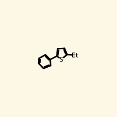 [CH2]Cc1ccc(-c2ccccc2)s1